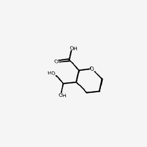 O=C(O)C1OCCCC1C(O)O